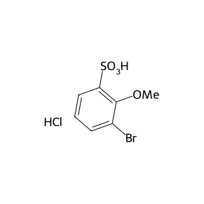 COc1c(Br)cccc1S(=O)(=O)O.Cl